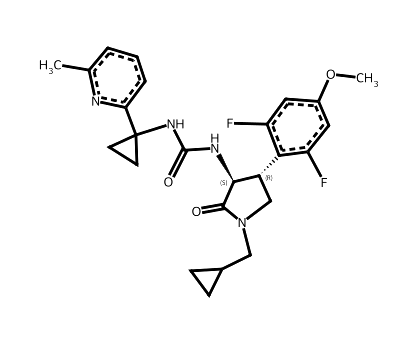 COc1cc(F)c([C@@H]2CN(CC3CC3)C(=O)[C@H]2NC(=O)NC2(c3cccc(C)n3)CC2)c(F)c1